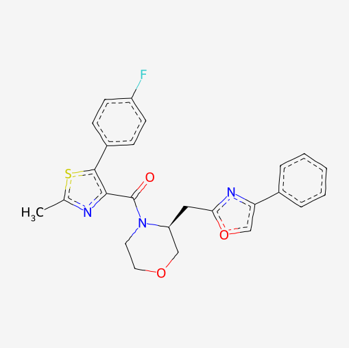 Cc1nc(C(=O)N2CCOC[C@@H]2Cc2nc(-c3ccccc3)co2)c(-c2ccc(F)cc2)s1